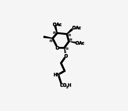 CC(=O)O[C@H]1[C@H](OC(C)=O)[C@H](OCCNC(=O)O)O[C@@H](C)[C@H]1OC(C)=O